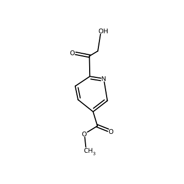 COC(=O)c1ccc(C(=O)CO)nc1